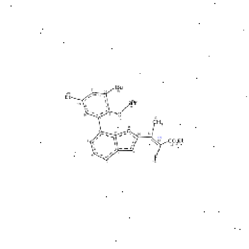 CCCOc1c(-c2cccc3cc(/C(C)=C(\F)C(=O)OCC)oc23)cc(CC)cc1C(C)(C)C